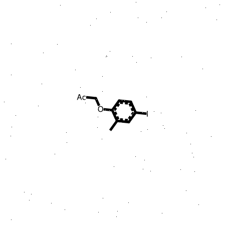 CC(=O)COc1ccc(I)cc1C